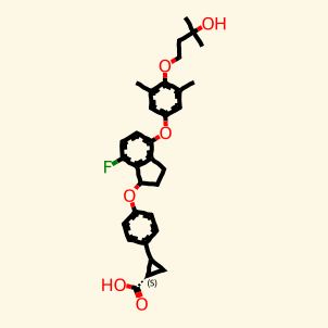 Cc1cc(Oc2ccc(F)c3c2CCC3Oc2ccc(C3C[C@@H]3C(=O)O)cc2)cc(C)c1OCCC(C)(C)O